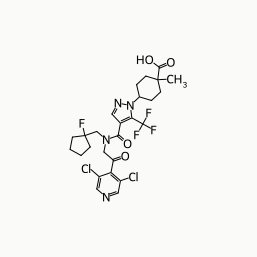 CC1(C(=O)O)CCC(n2ncc(C(=O)N(CC(=O)c3c(Cl)cncc3Cl)CC3(F)CCCC3)c2C(F)(F)F)CC1